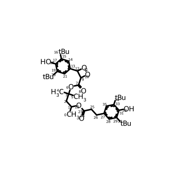 CC(CC(C)(C)OC(=O)C1OOC1c1cc(C(C)(C)C)c(O)c(C(C)(C)C)c1)OC(=O)CCc1cc(C(C)(C)C)c(O)c(C(C)(C)C)c1